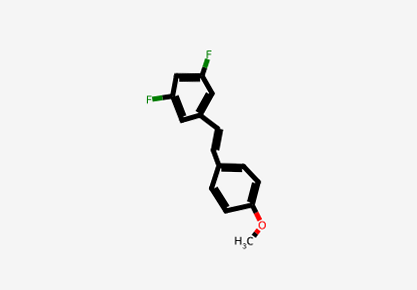 COc1ccc(C=Cc2cc(F)cc(F)c2)cc1